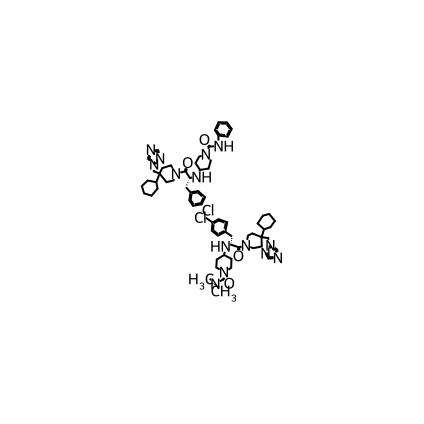 CN(C)C(=O)N1CCC(N[C@H](Cc2ccc(Cl)cc2)C(=O)N2CCC(Cn3cncn3)(C3CCCCC3)CC2)CC1.O=C(Nc1ccccc1)N1CCC(N[C@H](Cc2ccc(Cl)cc2)C(=O)N2CCC(Cn3cncn3)(C3CCCCC3)CC2)CC1